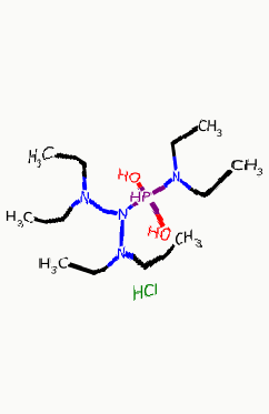 CCN(CC)N(N(CC)CC)[PH](O)(O)N(CC)CC.Cl